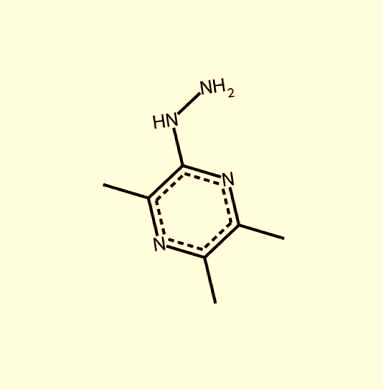 Cc1nc(C)c(NN)nc1C